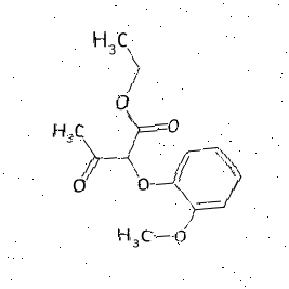 CCOC(=O)C(Oc1ccccc1OC)C(C)=O